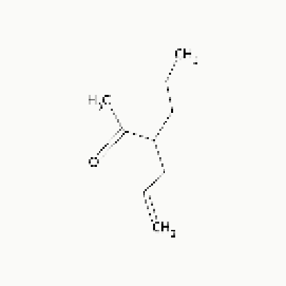 C=CCC(CCC)C(C)=O